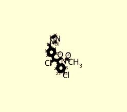 CC(=O)N1C(=O)C(=C(Cl)c2ccc(Cn3ccnc3)cc2)c2ccc(Cl)cc21